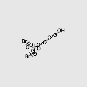 CC(C)(Br)C(=O)OCC(C)(COC(=O)C(C)(C)Br)C(=O)OCCOCCOCCOCCO